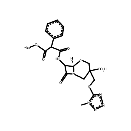 Cn1nnnc1SCC1(C(=O)O)CS[C@@H]2C(NC(=O)C(C(=O)OC(C)(C)C)c3ccccc3)C(=O)N2C1